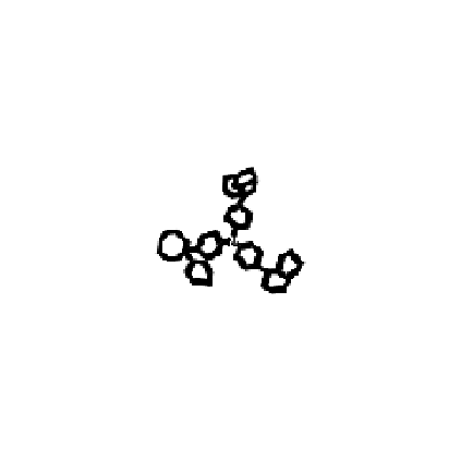 c1ccc(C2(c3ccc(N(c4ccc(-c5cccc6ccccc56)cc4)c4ccc(C56CC7CC(CC(C7)C5)C6)cc4)cc3)CCCCCCC2)cc1